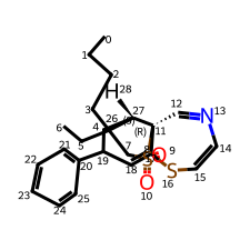 CCCCC1(CC)CS(=O)(=O)[C@]23C=NC=CSC2=CC(c2ccccc2)C[C@@H]13